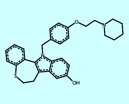 Oc1ccc2c(c1)c1c(n2Cc2ccc(OCCN3CCCCC3)cc2)-c2ccccc2SCC1